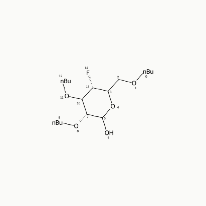 CCCCOCC1OC(O)[C@H](OCCCC)C(OCCCC)[C@@H]1F